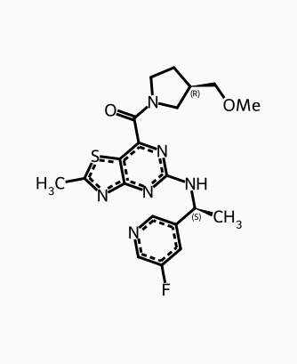 COC[C@@H]1CCN(C(=O)c2nc(N[C@@H](C)c3cncc(F)c3)nc3nc(C)sc23)C1